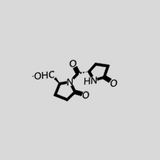 O=[C][C@@H]1CCC(=O)N1C(=O)[C@@H]1CCC(=O)N1